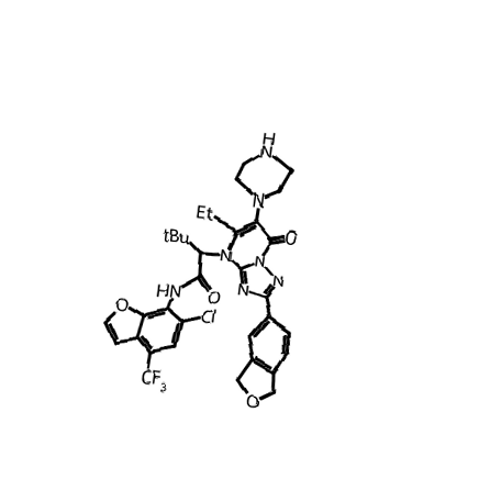 CCc1c(N2CCNCC2)c(=O)n2nc(-c3ccc4c(c3)COC4)nc2n1C(C(=O)Nc1c(Cl)cc(C(F)(F)F)c2ccoc12)C(C)(C)C